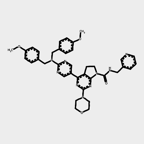 COc1ccc(CN(Cc2ccc(OC)cc2)c2ncc(-c3nc(N4CCOCC4)nc4c3CCN4C(=O)NCc3cccnc3)cn2)cc1